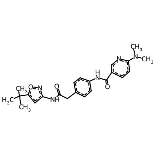 CN(C)c1ccc(C(=O)Nc2ccc(CC(=O)Nc3cc(C(C)(C)C)on3)cc2)cn1